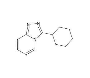 [c]1ccc2nnc(C3CCCCC3)n2c1